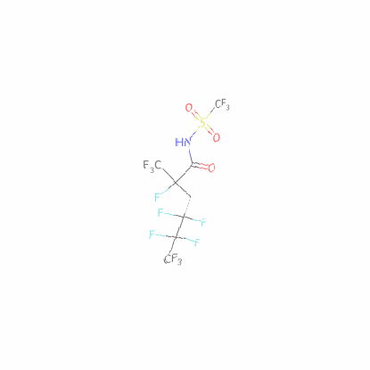 O=C(NS(=O)(=O)C(F)(F)F)C(F)(CC(F)(F)C(F)(F)C(F)(F)F)C(F)(F)F